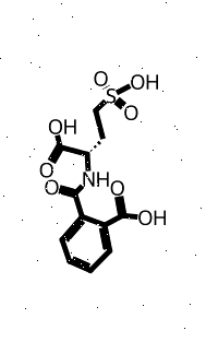 O=C(O)c1ccccc1C(=O)N[C@@H](CCS(=O)(=O)O)C(=O)O